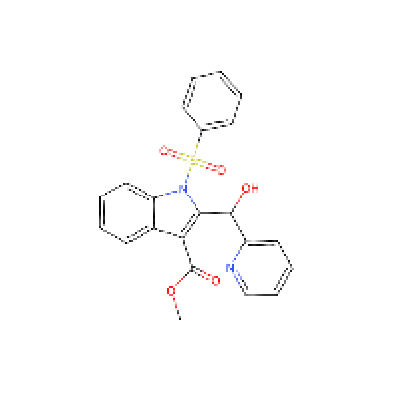 COC(=O)c1c(C(O)c2ccccn2)n(S(=O)(=O)c2ccccc2)c2ccccc12